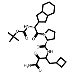 CC(C)(C)OC(=O)N[C@H](C(=O)N1CCC[C@H]1C(=O)NC(CC1CCC1)C(=O)C(N)=O)C1CC2CCCCC2C1